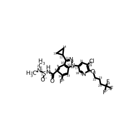 CN(C)[S+]([O-])NC(=O)c1cc2c(C3CC3)nn(-c3cnc(OCCCC(F)(F)F)c(Cl)c3)c2cc1F